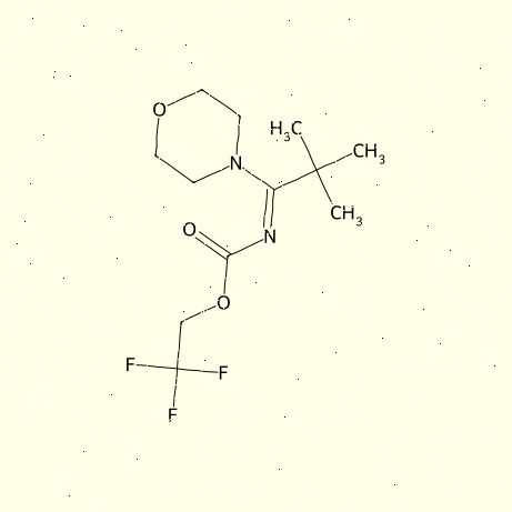 CC(C)(C)/C(=N/C(=O)OCC(F)(F)F)N1CCOCC1